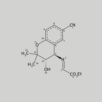 CCOC(=O)C=N[C@@H]1c2cc(C#N)ccc2OC(C)(C)[C@H]1O